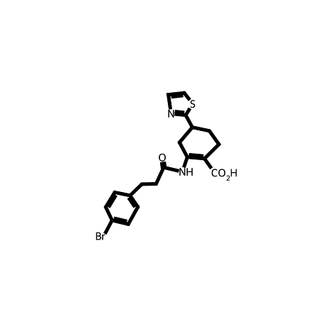 O=C(CCc1ccc(Br)cc1)NC1=C(C(=O)O)CCC(c2nccs2)C1